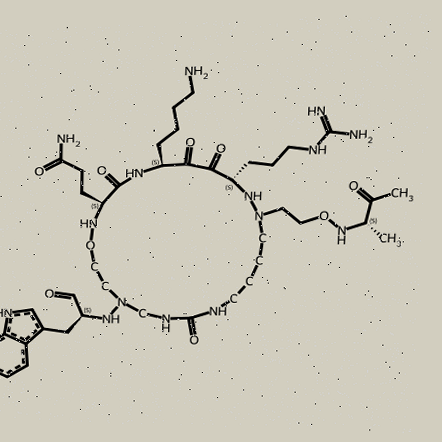 CC(=O)[C@H](C)NOCCN1CCCCNC(=O)NCN(N[C@H](C=O)Cc2c[nH]c3ccccc23)CCON[C@@H](CCC(N)=O)C(=O)N[C@@H](CCCCN)C(=O)C(=O)[C@H](CCCNC(=N)N)N1